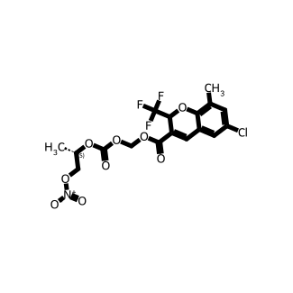 Cc1cc(Cl)cc2c1OC(C(F)(F)F)C(C(=O)OCOC(=O)O[C@@H](C)CO[N+](=O)[O-])=C2